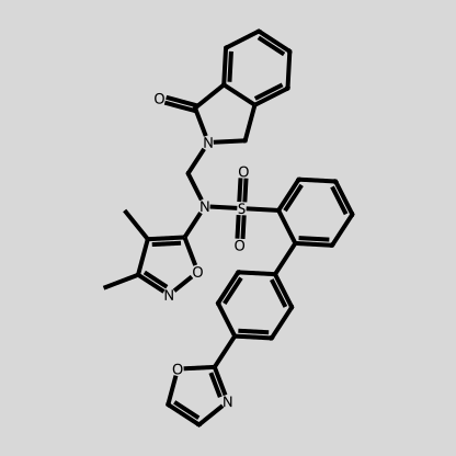 Cc1noc(N(CN2Cc3ccccc3C2=O)S(=O)(=O)c2ccccc2-c2ccc(-c3ncco3)cc2)c1C